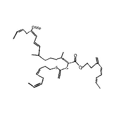 C=C(/C=C\C=C/C)CCOC(=O)/C(SC(=C)SCC/C=C\C/C=C\C)=C(\C)CCCC(C)/C=C/C=C(\C/C=C\C)OC